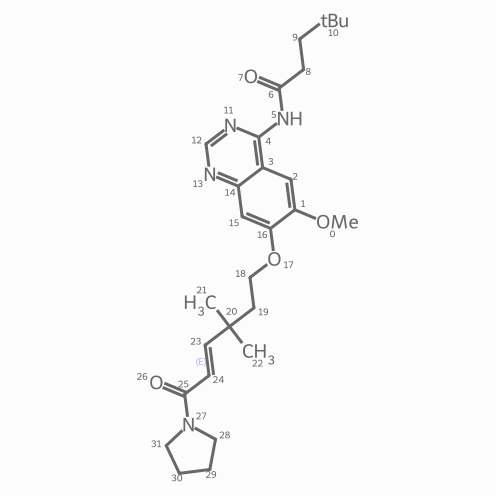 COc1cc2c(NC(=O)CCC(C)(C)C)ncnc2cc1OCCC(C)(C)/C=C/C(=O)N1CCCC1